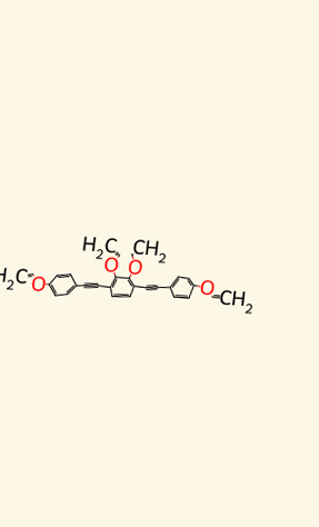 C=COc1ccc(C#Cc2ccc(C#Cc3ccc(OC=C)cc3)c(OC=C)c2OC=C)cc1